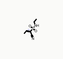 C/C=C(\C#N)S(=O)(=O)NCC